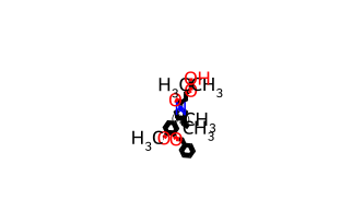 CC[C@]1(C)CN(C(=O)CCOC(C)(C)O)C[C@H]1c1ccc(OC)c(OCc2ccccc2)c1